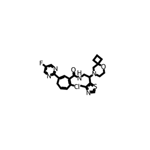 Cc1ncsc1C(CNC(=O)C1=C(Cl)C=CCC(c2ncc(F)cn2)=C1)N1CCOC2(CCC2)C1